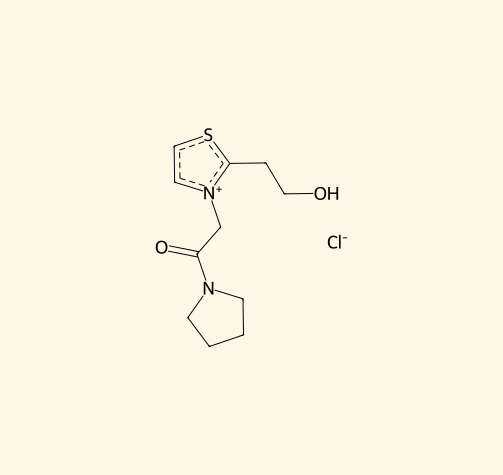 O=C(C[n+]1ccsc1CCO)N1CCCC1.[Cl-]